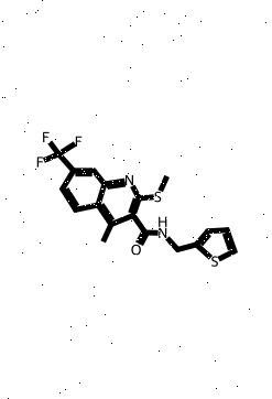 CSc1nc2cc(C(F)(F)F)ccc2c(C)c1C(=O)NCc1cccs1